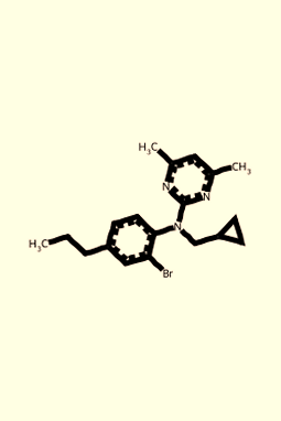 CCCc1ccc(N(CC2CC2)c2nc(C)cc(C)n2)c(Br)c1